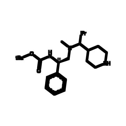 CC(C)C(C1CCNCC1)N(C)C[C@H](NC(=O)OC(C)(C)C)c1ccccc1